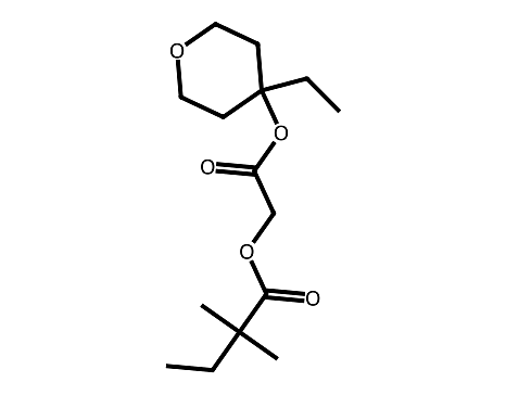 CCC1(OC(=O)COC(=O)C(C)(C)CC)CCOCC1